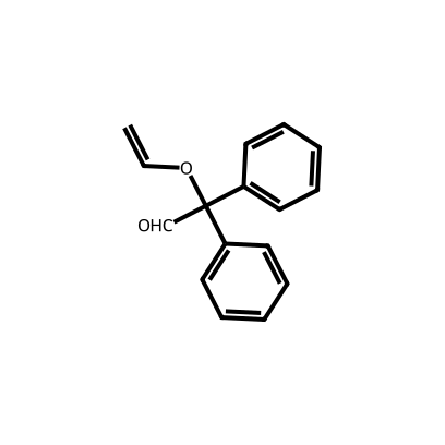 C=COC(C=O)(c1ccccc1)c1ccccc1